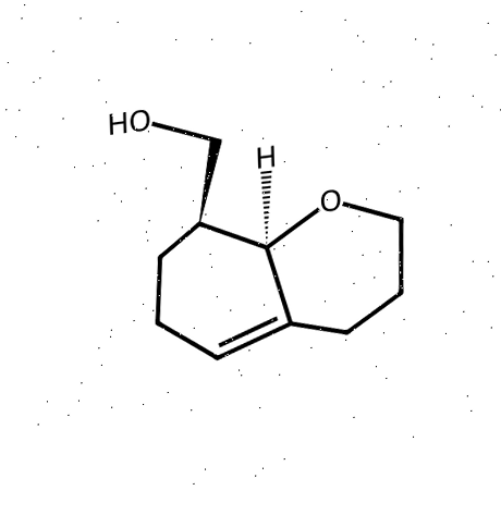 OC[C@@H]1CCC=C2CCCO[C@@H]21